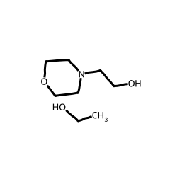 CCO.OCCN1CCOCC1